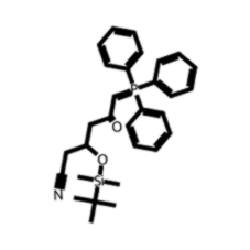 CC(C)(C)[Si](C)(C)OC(CC#N)CC(=O)C=P(c1ccccc1)(c1ccccc1)c1ccccc1